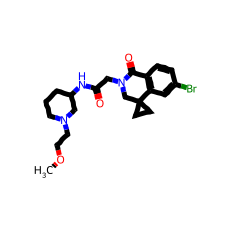 COCCN1CCCC(NC(=O)CN2CC3(CC3)c3cc(Br)ccc3C2=O)C1